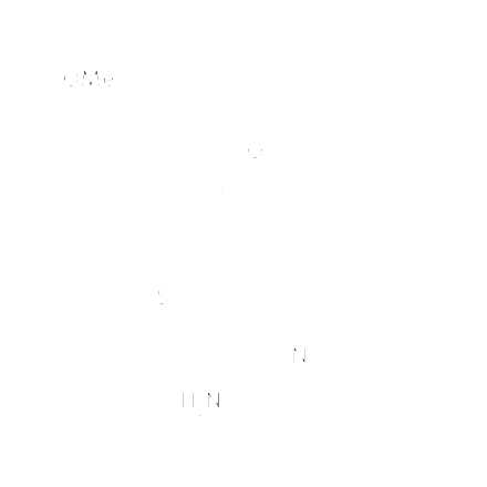 COc1ccc2sc3c(N)nc4ccccc4c3c(=O)c2c1